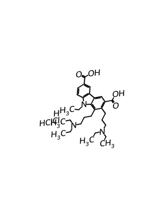 CCN(CC)CCCc1c(C(=O)O)cc2c3cc(C(=O)O)ccc3n(CC)c2c1CCCN(CC)CC.Cl.Cl